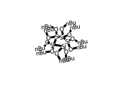 CCCCO[Si]1(OCCCC)[Si](OCCCC)(OCCCC)[Si](OCCCC)(OCCCC)[Si](OCCCC)(OCCCC)[Si]1(OCCCC)OCCCC